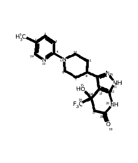 Cc1ccc(N2CCC(c3n[nH]c4c3C(O)(C(F)(F)F)CC(=O)N4)CC2)nc1